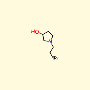 CC(C)CCN1CCC(O)C1